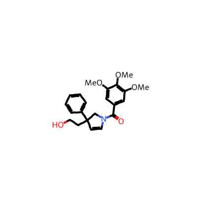 COc1cc(C(=O)N2C=CC(CCO)(c3ccccc3)C2)cc(OC)c1OC